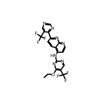 CCOc1nc(Nc2ccnc3nc(-c4ncncc4C(F)(F)F)ccc23)ncc1C(F)(F)F